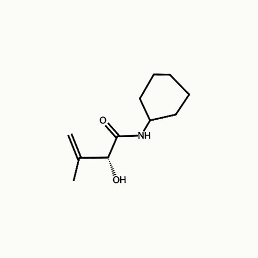 C=C(C)[C@@H](O)C(=O)NC1CCCCC1